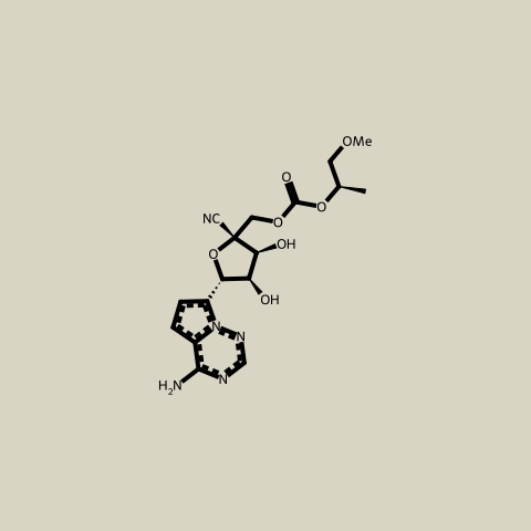 COC[C@@H](C)OC(=O)OC[C@@]1(C#N)O[C@@H](c2ccc3c(N)ncnn23)[C@H](O)[C@@H]1O